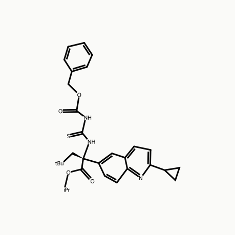 CC(C)OC(=O)[C@](CC(C)(C)C)(NC(=S)NC(=O)OCc1ccccc1)c1ccc2nc(C3CC3)ccc2c1